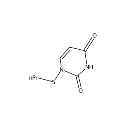 CCCSn1ccc(=O)[nH]c1=O